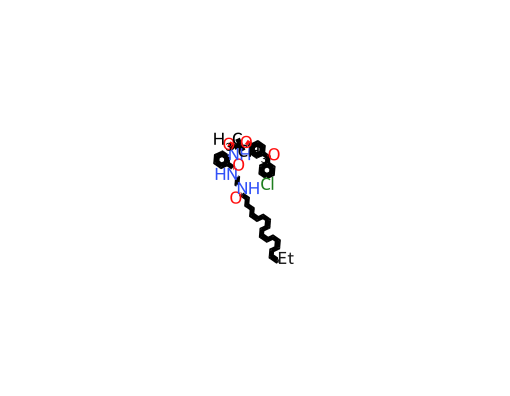 CC/C=C\C/C=C\C/C=C\C/C=C\C/C=C\CCCC(=O)NCCNC(=O)c1ccccc1NC(=O)C(C)(C)Oc1ccc(C(=O)c2ccc(Cl)cc2)cc1